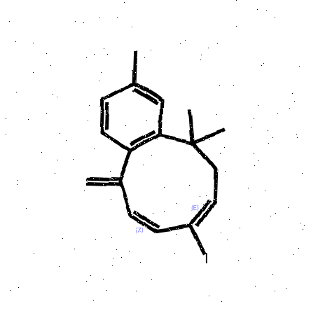 C=C1/C=C\C(I)=C/CC(C)(C)c2cc(C)ccc21